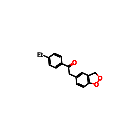 CCc1ccc(C(=O)Cc2ccc3c(c2)COO3)cc1